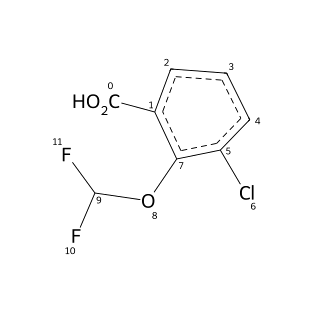 O=C(O)c1cccc(Cl)c1OC(F)F